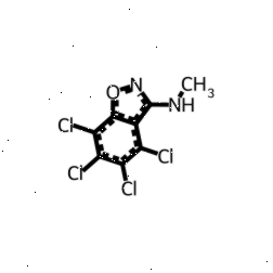 CNc1noc2c(Cl)c(Cl)c(Cl)c(Cl)c12